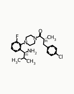 CC(C)[C@H](N)c1cccc(F)c1N1CCN(C(=O)[C@H](C)Cc2ccc(Cl)cc2)CC1